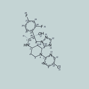 C[C@@H](NC1CCN(c2ncc(Cl)cn2)CC1)[C@](O)(Cn1cncn1)c1ccc(F)cc1F